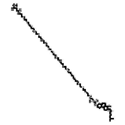 CC(C)CCC[C@@H](C)[C@H]1CCC2C3CC=C4C[C@@H](OC(=O)NCCOCCOCCOCCOCCOCCOCCOCCOCCOCCOCCOCCOCCOCCOCCOCCOCCOCCOCCOCCNC(=O)CCC(=O)O)CC[C@]4(C)C3CC[C@@]21C